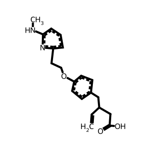 C=CC(CC(=O)O)Cc1ccc(OCCc2cccc(NC)n2)cc1